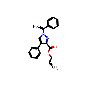 C=CCOC(=O)c1nn(C(=C)c2ccccc2)cc1-c1ccccc1